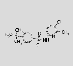 Cc1nc(NS(=O)(=O)c2ccc(C(C)(C)C)cc2)ccc1Cl